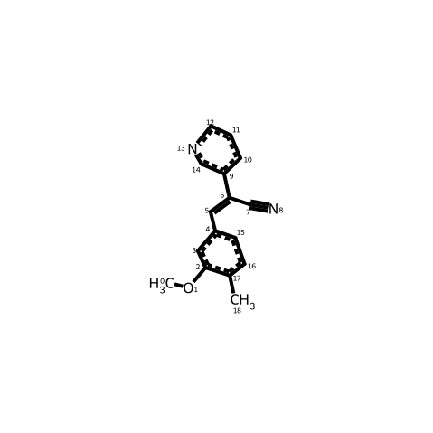 COc1cc(/C=C(\C#N)c2cccnc2)ccc1C